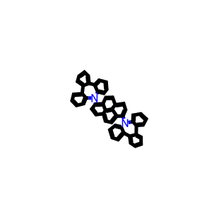 c1ccc2c(c1)-c1ccccc1N(c1ccc3ccc4c(N5c6ccccc6-c6ccccc6-c6ccccc65)ccc5ccc1c3c54)c1ccccc1-2